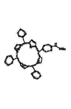 CNNc1ccc(-c2c3nc(c(-c4ccccc4)c4ccc([nH]4)c(-c4ccccc4)c4nc(c(-c5ccccc5)c5[nH]c2CC5)C=C4)C=C3)cc1